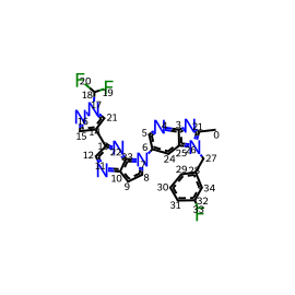 Cc1nc2ncc(-n3ccc4ncc(-c5cnn(C(F)F)c5)nc43)cc2n1Cc1cccc(F)c1